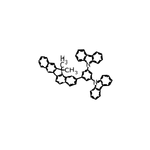 CC1(C)c2cc3ccccc3cc2-c2ccc3ccc(-c4cc(-n5c6ccccc6c6ccccc65)cc(-n5c6ccccc6c6ccccc65)c4)cc3c21